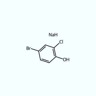 Oc1ccc(Br)cc1Cl.[NaH]